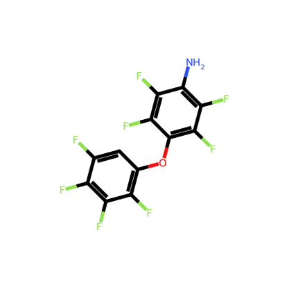 Nc1c(F)c(F)c(Oc2cc(F)c(F)c(F)c2F)c(F)c1F